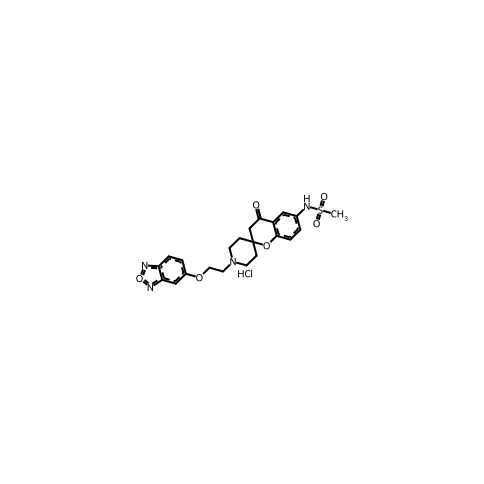 CS(=O)(=O)Nc1ccc2c(c1)C(=O)CC1(CCN(CCOc3ccc4nonc4c3)CC1)O2.Cl